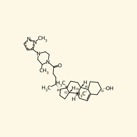 CC(CCC(=O)N1CCN(c2ccnn2C)CC1C)[C@H]1CC[C@H]2[C@@H]3CC=C4C[C@@H](O)CC[C@]4(C)[C@H]3CC[C@]12C